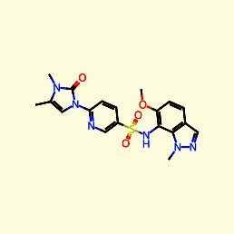 COc1ccc2cnn(C)c2c1NS(=O)(=O)c1ccc(-n2cc(C)n(C)c2=O)nc1